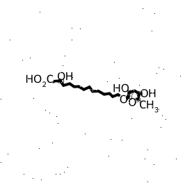 C[C@@H]1O[C@@H](OCCCCCCCCCCCC[C@@H](O)CC(=O)O)[C@H](O)C[C@H]1O